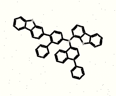 c1ccc(-c2cc(N(c3ccc(-c4ccccc4)c4ccccc34)c3cccc4c3sc3ccccc34)ccc2-c2ccc3c(c2)sc2ccccc23)cc1